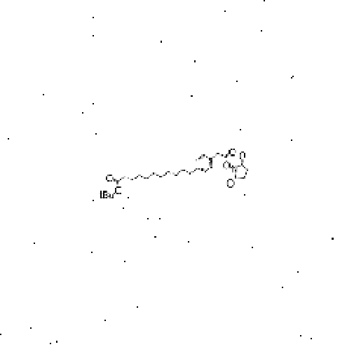 CC(C)(C)OC(=O)CCCCCCCCCCc1ccc(CC(=O)ON2C(=O)CCC2=O)cc1